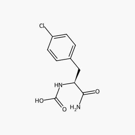 NC(=O)[C@H](Cc1ccc(Cl)cc1)NC(=O)O